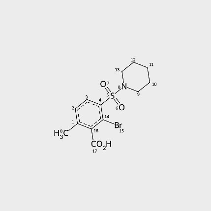 Cc1ccc(S(=O)(=O)N2CCCCC2)c(Br)c1C(=O)O